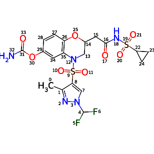 Cc1nn(C(F)F)cc1S(=O)(=O)N1CC(CC(=O)NS(=O)(=O)C2CC2)Oc2ccc(OC(N)=O)cc21